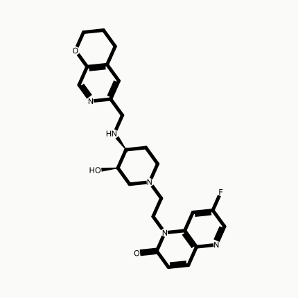 O=c1ccc2ncc(F)cc2n1CCN1CC[C@H](NCc2cc3c(cn2)OCCC3)[C@H](O)C1